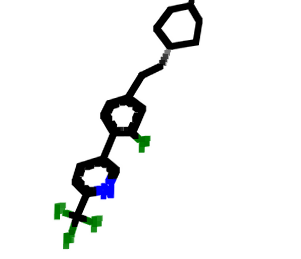 CC[C@H]1CC[C@H](CCc2ccc(-c3ccc(C(F)(F)F)nc3)c(F)c2)CC1